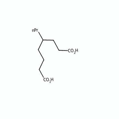 CCCC(CCCC(=O)O)CCC(=O)O